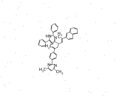 C=C(CC(/C=C(\C)c1ccc2ccccc2c1)C1=NC(c2ccccc2)NC(c2ccccc2)=N1)c1ccc(-c2nc(C)cc(C)n2)cc1